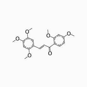 COc1ccc(C(=O)C=Cc2cc(OC)c(OC)cc2OC)c(OC)c1